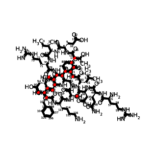 CC[C@H](C)[C@H](NC(=O)[C@H](CCC(=O)O)NC(=O)[C@@H](NC(=O)[C@H](CCCCN)NC(=O)[C@H](CC(C)C)NC(=O)[C@H](CC(=O)O)NC(=O)[C@H](CCC(N)=O)NC(=O)[C@@H](N)CCCNC(=N)N)[C@@H](C)O)C(=O)N[C@@H](CCCNC(=N)N)C(=O)N[C@@H](Cc1ccc(O)cc1)C(=O)N[C@@H](CC(=O)O)C(=O)N[C@@H](Cc1ccccc1)C(=O)N[C@@H](CCCCN)C(=O)N[C@@H](C)C(=O)N[C@@H](CC(=O)O)C(=O)N[C@@H](CCC(=O)O)C(=O)O